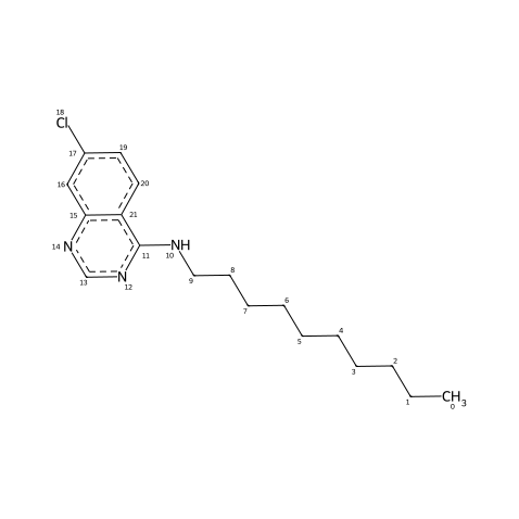 CCCCCCCCCCNc1ncnc2cc(Cl)ccc12